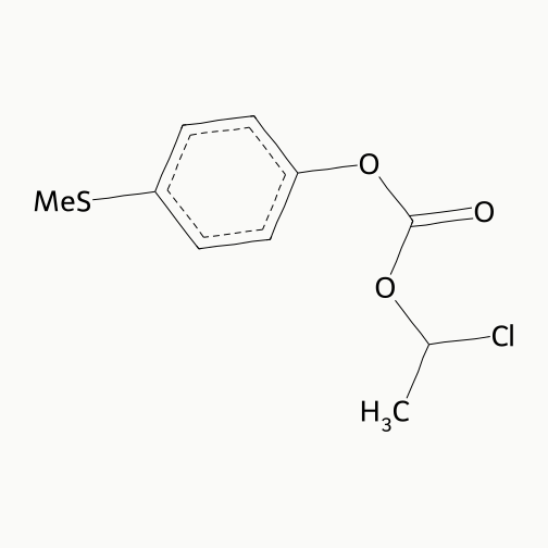 CSc1ccc(OC(=O)OC(C)Cl)cc1